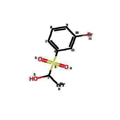 CCCC(O)S(=O)(=O)c1cccc(Br)c1